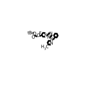 Cc1ccc(N(Cc2ccccc2)c2cncc(N3CCC(F)(COCC(=O)OC(C)(C)C)CC3)n2)nc1